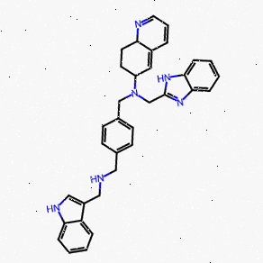 C1=CC2=CC(N(Cc3ccc(CNCc4c[nH]c5ccccc45)cc3)Cc3nc4ccccc4[nH]3)CCC2N=C1